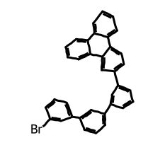 Brc1cccc(-c2cccc(-c3cccc(-c4ccc5c6ccccc6c6ccccc6c5c4)c3)c2)c1